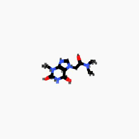 CN(C)C(=O)Cn1cnc2c1c(=O)[nH]c(=O)n2C